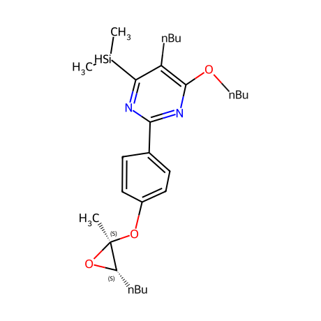 CCCCOc1nc(-c2ccc(O[C@]3(C)O[C@H]3CCCC)cc2)nc([SiH](C)C)c1CCCC